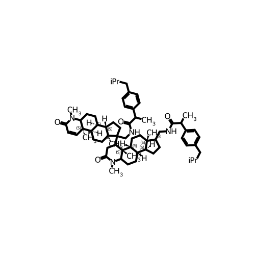 CC(C)Cc1ccc(C(C)C(=O)NCC2CC[C@H]3[C@@H]4CCC5N(C)C(=O)CC(C6(CNC(=O)C(C)c7ccc(CC(C)C)cc7)CC[C@H]7[C@@H]8CCC9N(C)C(=O)C=C[C@]9(C)[C@@H]8CC[C@@]76C)[C@]5(C)[C@@H]4CC[C@]23C)cc1